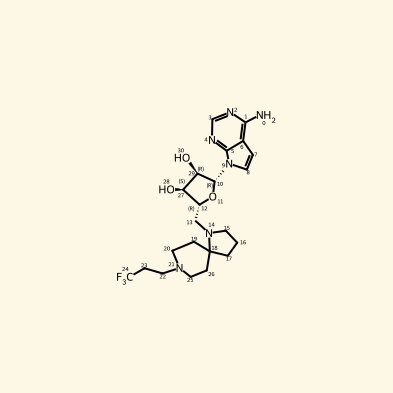 Nc1ncnc2c1ccn2[C@@H]1O[C@H](CN2CCCC23CCN(CCC(F)(F)F)CC3)[C@@H](O)[C@H]1O